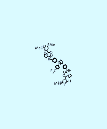 COC(=O)N[C@@H](CCSC)C(=O)N1CCCC1C(=O)Nc1ccc([C@H]2CC[C@H](c3ccc(NC(=O)[C@@H]4CCCN4C(=O)[C@H](CCSC)NC(=O)O)cc3)N2c2ccc(C(F)(F)F)cc2)cc1